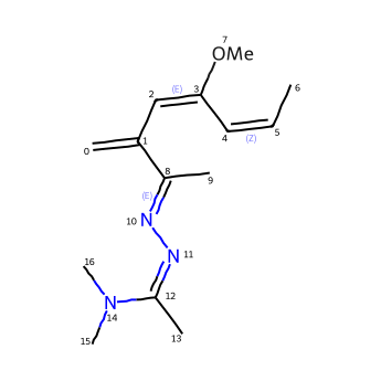 C=C(/C=C(\C=C/C)OC)/C(C)=N/N=C(C)N(C)C